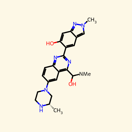 CNC(O)c1nc(-c2cc3cn(C)nc3cc2O)nc2ccc(N3CCN[C@@H](C)C3)cc12